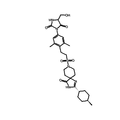 Cc1cc(N2C(=O)NC(CO)C2=O)cc(C)c1CCS(=O)(=O)N1CCC2(CC1)N=C([C@H]1CC[C@H](C)CC1)NC2=O